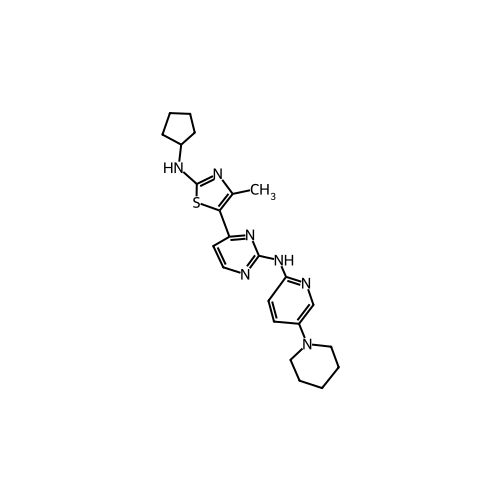 Cc1nc(NC2CCCC2)sc1-c1ccnc(Nc2ccc(N3CCCCC3)cn2)n1